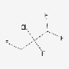 FCC(F)(Cl)C(F)F